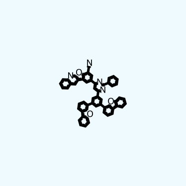 N#Cc1cc(-c2cc(-c3cc(-c4cccc5c4oc4ccccc45)cc(-c4cccc5c4oc4ccccc45)c3)nc(-c3ccccc3)n2)cc2c1oc1nc3ccccc3cc12